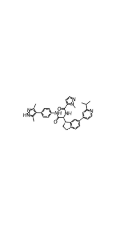 Cc1n[nH]c(C)c1-c1ccc(NC(=O)[C@@H](NC(=O)c2ccnn2C)[C@@H]2CCc3ccc(-c4ccnc(C(C)C)c4)cc32)cc1